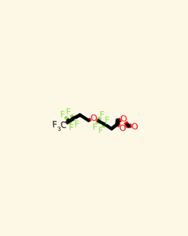 O=c1occ(CC(F)(F)C(F)(F)OCCC(F)(F)C(F)(F)C(F)(F)F)o1